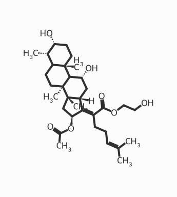 CC(=O)O[C@H]1C[C@@]2(C)[C@H](C[C@@H](O)C3[C@@]4(C)CC[C@@H](O)[C@@H](C)C4CC[C@@]32C)C1=C(CCC=C(C)C)C(=O)OCCO